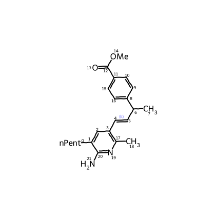 CCCCCc1cc(/C=C/C(C)c2ccc(C(=O)OC)cc2)c(C)nc1N